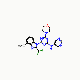 COc1cccc2c1nc(C(F)F)n2-c1nc(Nc2cncnc2)nc(N2CCOCC2)n1